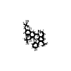 CC(C)c1cc2ccnc3c4cc5cc(CC(C)(C)C)ccc5c(CC(C)(C)C)c4n4c5ccccc5c1c4c23